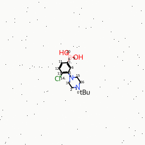 CC(C)(C)N1CCN(c2cc(B(O)O)ccc2Cl)CC1